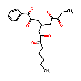 CCCCCC(=O)C(=O)CC(CC(=O)C(=O)CC)CC(=O)C(=O)c1ccccc1